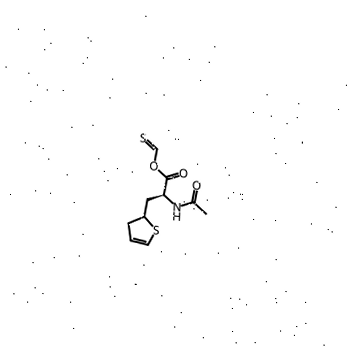 CC(=O)N[C@@H](CC1CC=CS1)C(=O)OC=S